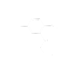 CCOC(=O)CNc1cc(F)ccc1[N+](=O)[O-]